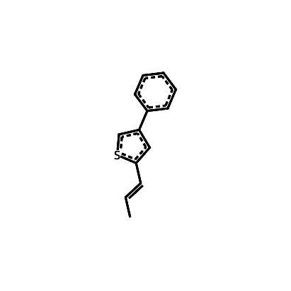 C/C=C/c1cc(-c2ccccc2)cs1